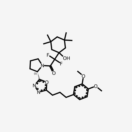 COc1ccc(CCCc2nnc([C@@H]3CCCN3C(=O)C(F)(F)C3(O)CC(C)(C)CC(C)(C)C3)o2)cc1OC